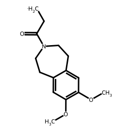 [CH2]CC(=O)N1CCc2cc(OC)c(OC)cc2CC1